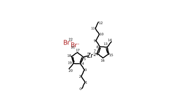 CCCCC1=[C]([Zr+2][C]2=C(CCCC)C(C)=CC2)CC=C1C.[Br-].[Br-]